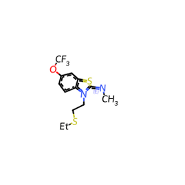 CCSCCn1/c(=N\C)sc2cc(OC(F)(F)F)ccc21